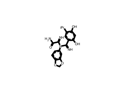 CC(C)c1cc(C(=N)N(C(=N)C(N)=O)c2ccc3c(c2)OCO3)c(O)cc1O